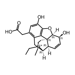 CC[N+]1(C)CC[C@]23c4c5c(CC(=O)O)cc(O)c4O[C@H]2[C@@H](O)C=C[C@H]3[C@H]1C5